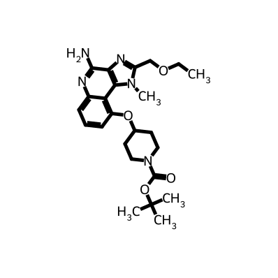 CCOCc1nc2c(N)nc3cccc(OC4CCN(C(=O)OC(C)(C)C)CC4)c3c2n1C